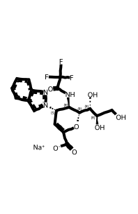 O=C([O-])C1=C[C@H](n2cc3ccccc3n2)[C@@H](NC(=O)C(F)(F)F)[C@H]([C@H](O)[C@H](O)CO)O1.[Na+]